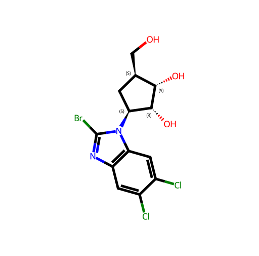 OC[C@@H]1C[C@H](n2c(Br)nc3cc(Cl)c(Cl)cc32)[C@@H](O)[C@H]1O